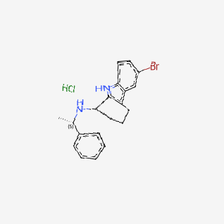 C[C@H](NC1CCCc2c1[nH]c1ccc(Br)cc21)c1ccccc1.Cl